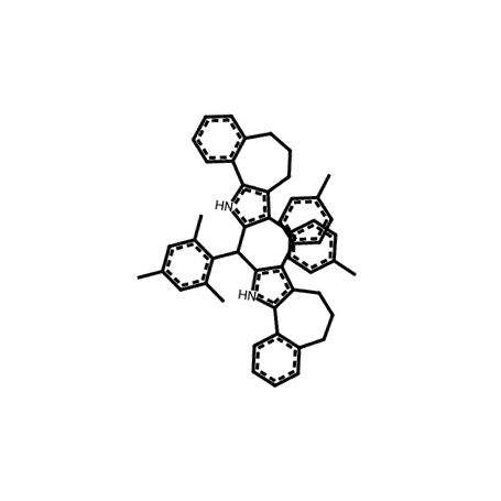 Cc1ccc(-c2c(C(c3[nH]c4c(c3-c3ccc(C)cc3)CCCc3ccccc3-4)c3c(C)cc(C)cc3C)[nH]c3c2CCCc2ccccc2-3)cc1